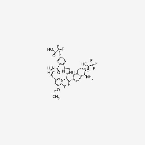 CCOc1cc(CC)cc([C@H](Nc2ccc3c(N)nccc3c2)c2nc(-c3ccccc3C(N)=O)c[nH]2)c1F.O=C(O)C(F)(F)F.O=C(O)C(F)(F)F